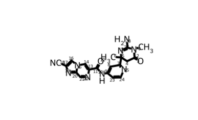 CN1C(=O)CC(C)(c2cc(NC(=O)c3cn4cc(C#N)nc4cn3)ccn2)N=C1N